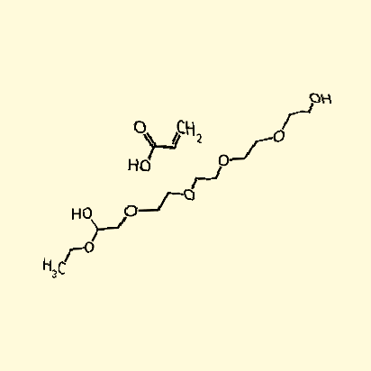 C=CC(=O)O.CCOC(O)COCCOCCOCCOCCO